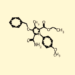 CCOC(=O)c1c(C)c(OCc2ccccc2)c(C(N)=O)n1-c1ccc(OC)cc1